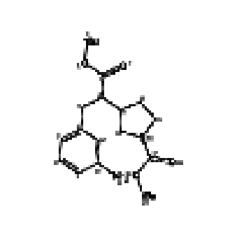 CC(C)(C)OC(=O)C(Cc1cccc(N)c1)C1CCN(C(=O)OC(C)(C)C)C1